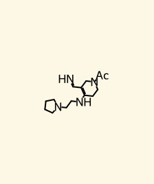 CC(=O)N1CCC(NCCN2CCCC2)=C(C=N)C1